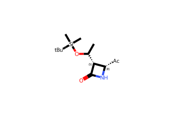 CC(=O)[C@@H]1NC(=O)[C@@H]1C(C)O[Si](C)(C)C(C)(C)C